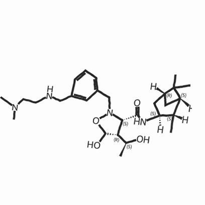 C[C@@H]1[C@@H](NC(=O)[C@@H]2[C@H]([C@H](C)O)C(O)ON2Cc2cccc(CNCCN(C)C)c2)C[C@H]2C[C@@H]1C2(C)C